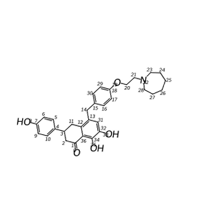 O=C1CC(c2ccc(O)cc2)Cc2c(Cc3ccc(OCCN4CCCCCC4)cc3)cc(O)c(O)c21